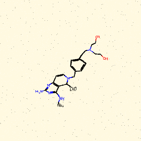 CCCCNc1nc(N)nc2c1C(C=O)N(Cc1ccc(CN(CCO)CCO)cc1)C=C2